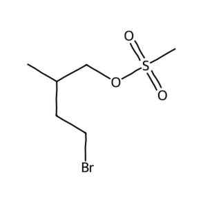 CC(CCBr)COS(C)(=O)=O